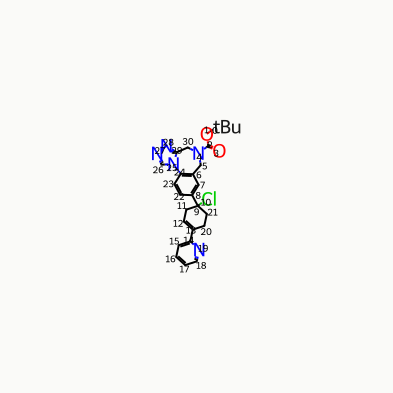 CC(C)(C)OC(=O)N1Cc2cc(C3(Cl)CC=C(c4ccccn4)CC3)ccc2-n2cnnc2C1